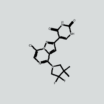 CC1(C)CN(c2ncc(Cl)n3nc(-c4c[nH]c(=O)[nH]c4=O)cc23)CC1(F)F